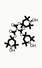 CC1(OC(=O)P(C(=O)OC2(C)CC(C)(C)N(O)C(C)(C)C2)C(=O)OC2(C)CC(C)(C)N(O)C(C)(C)C2)CC(C)(C)N(O)C(C)(C)C1